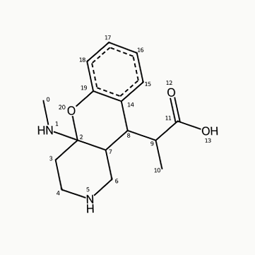 CNC12CCNCC1C(C(C)C(=O)O)c1ccccc1O2